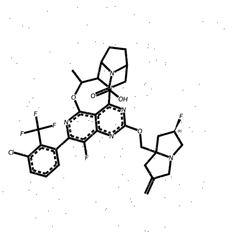 C=C1CN2C[C@H](F)CC2(COc2nc3c4c(nc(-c5cccc(Cl)c5C(F)(F)F)c(F)c4n2)OC(C)C2C4CCC(CN32)N4C(=O)O)C1